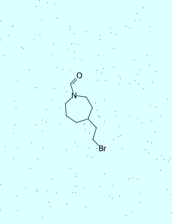 O=CN1CCCC(CCBr)CC1